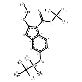 CC(C)(C)OC(=O)n1c(OBO)cc2cc(O[Si](C)(C)C(C)(C)C)ccc21